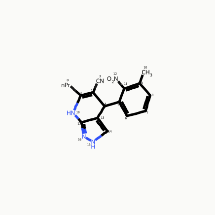 CCCC1=C(C#N)C(c2cccc(C)c2[N+](=O)[O-])c2c[nH]nc2N1